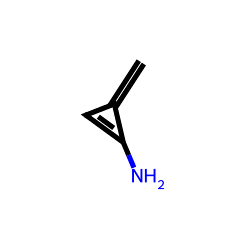 C=C1C=C1N